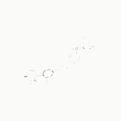 CC(C)(C)OC(=O)NC1CCC(CN2CCN(c3ccc(C4CCC(=O)NC4=O)c(Cl)c3)CC2)CC1